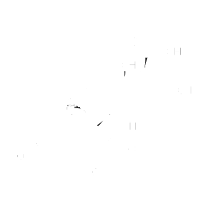 CC(=O)[C@H]1[C@H](C)C[C@H]2[C@@H]3C(=O)[C@H](Cl)C4=CC(=O)C=C[C@]4(C)[C@@]34O[C@H]4C[C@@]21C